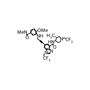 CNC(=O)c1ccc(OC)c(NCC#Cc2cc(C(=O)N[C@H]3CCN(CC(F)(F)F)C[C@@H]3C)c3ncn(CC(F)(F)F)c3c2)c1